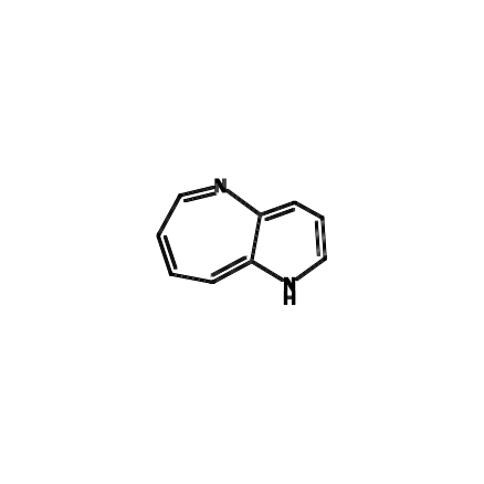 C1=CC=C2NC=CC=C2N=C1